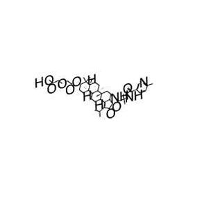 Cc1ccc(C(=O)NC(C)(C)C(=O)N[C@@]23CC[C@]4(C)[C@H](CC[C@@H]5[C@@]6(C)CC[C@H](OC(=O)COCC(=O)O)C(C)(C)[C@@H]6CC[C@]54C)C2=C(C(C)C)C(=O)C3)cn1